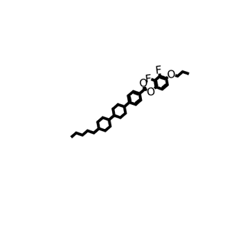 CCCCCC1CCC(C2CCC(c3ccc(C(=O)Oc4ccc(OCCC)c(F)c4F)cc3)CC2)CC1